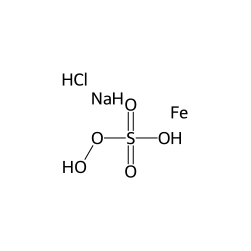 Cl.O=S(=O)(O)OO.[Fe].[NaH]